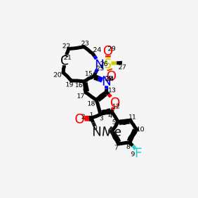 CNC(=O)c1c(-c2ccc(F)cc2)oc2nc3c(cc12)CCCCCCN3S(C)(=O)=O